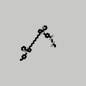 C=CC(=O)OCCOC(=O)c1ccc(CSC2(c3ccccn3)SC3(CCCCCCCCCCC45C=CC(C4)C(SCc4ccc(C=C)cc4)(c4ccccn4)S5)C=CC2C3)cc1